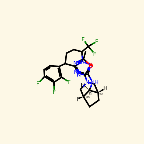 Cc1nnc(N2C[C@H]3CC[C@@H](C2)[C@@H]3Nc2nc3n(n2)C(C(F)(F)F)CCC3c2ccc(F)c(F)c2F)o1